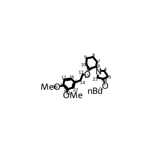 CCCCO[C@@H]1CCN(C2CCCC[C@@H]2OCCc2ccc(OC)c(OC)c2)C1